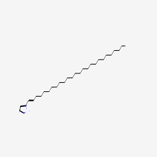 CCCCCCCCCCCCCCCCCCCCCCCC/C=C/C1=CC=C[N]1